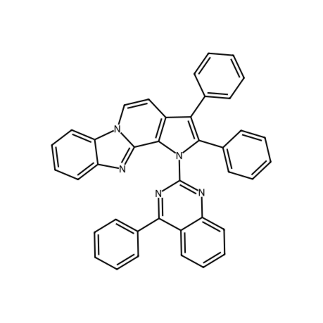 c1ccc(-c2nc(-n3c(-c4ccccc4)c(-c4ccccc4)c4ccn5c6ccccc6nc5c43)nc3ccccc23)cc1